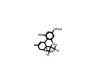 [2H]C([2H])([2H])C1(C([2H])([2H])[2H])Oc2cc(CCCCC)cc(O)c2C2C=C(C)CC[C@H]21